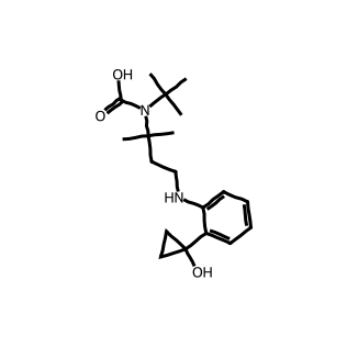 CC(C)(C)N(C(=O)O)C(C)(C)CCNc1ccccc1C1(O)CC1